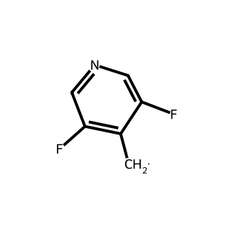 [CH2]c1c(F)cncc1F